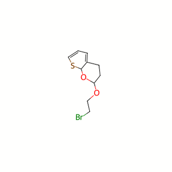 BrCCOC1CCC2=CC=CSC2O1